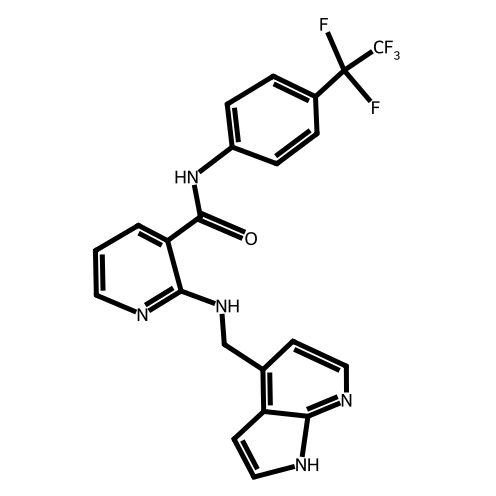 O=C(Nc1ccc(C(F)(F)C(F)(F)F)cc1)c1cccnc1NCc1ccnc2[nH]ccc12